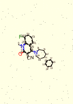 Cn1c(=O)c(C#N)c(N2CCC[C@H](c3ccccc3)CC2)c2cccc(F)c21